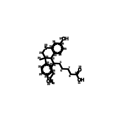 CCCCC(CCCCC(=O)O)C1c2ccc(O)cc2SCC1(C)c1ccc(O)cc1